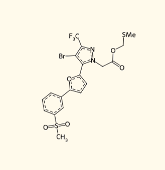 CSCOC(=O)Cn1nc(C(F)(F)F)c(Br)c1-c1ccc(-c2cccc(S(C)(=O)=O)c2)o1